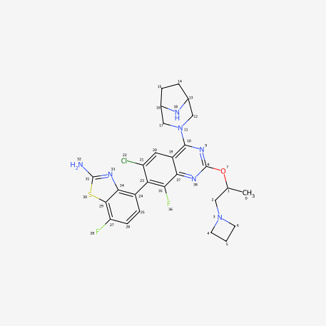 CC(CN1CCC1)Oc1nc(N2CC3CCC(C2)N3)c2cc(Cl)c(-c3ccc(F)c4sc(N)nc34)c(F)c2n1